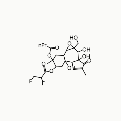 CCCC(=O)OC1(C)CC2C3OC3(CO)C(O)C3(O)C(=O)C(C)=CC3C2(O)CC1OC(=O)C(F)CF